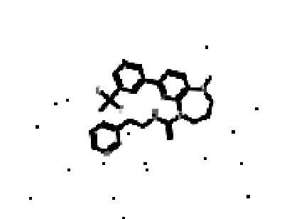 C=C(NCCc1cccnc1)N1CCCN(C)c2ccc(-c3cccc(C(C)(F)F)c3)nc21